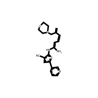 C=C(/C=C\C=C(/N)Nc1sc(-c2cccnc2)cc1C#N)CN1CCOCC1